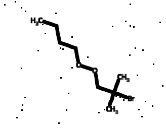 CCCCOOCC(C)(C)Br